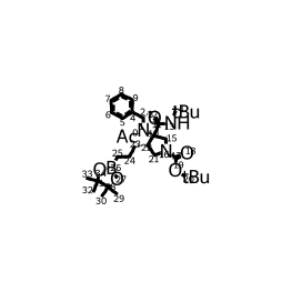 CC(=O)N([C@@H](C)c1ccccc1)[C@@]1(C(=O)NC(C)(C)C)CN(C(=O)OC(C)(C)C)C[C@@H]1CCCB1OC(C)(C)C(C)(C)O1